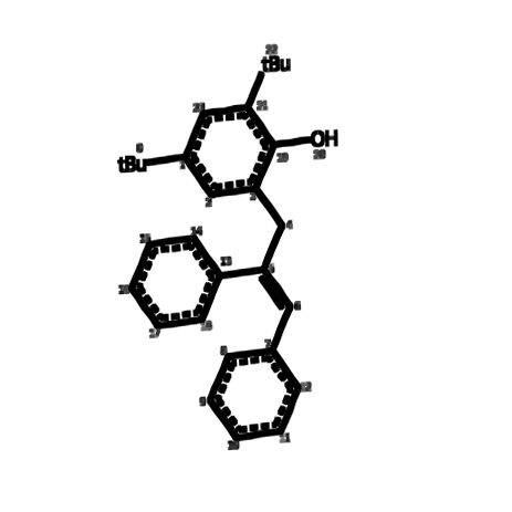 CC(C)(C)c1cc(CC(=Cc2ccccc2)c2ccccc2)c(O)c(C(C)(C)C)c1